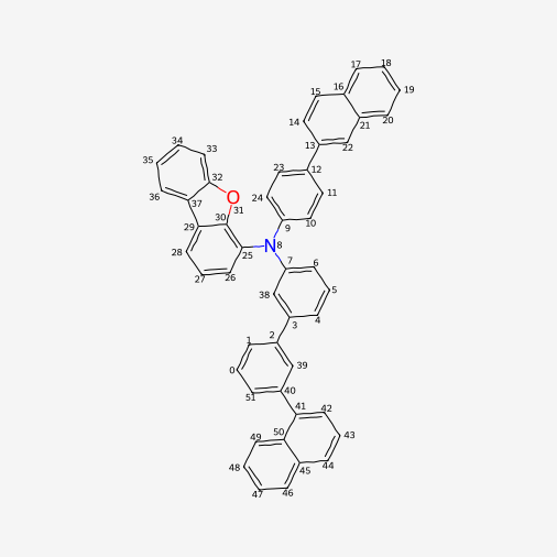 c1cc(-c2cccc(N(c3ccc(-c4ccc5ccccc5c4)cc3)c3cccc4c3oc3ccccc34)c2)cc(-c2cccc3ccccc23)c1